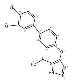 OCc1[nH]nnc1Oc1ccc(-c2ccc(Cl)c(Cl)c2)cc1